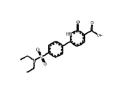 CCN(CC)S(=O)(=O)c1ccc(-c2ccc(C(=O)O)c(=O)[nH]2)cc1